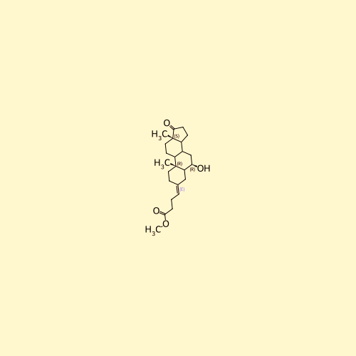 COC(=O)CC/C=C1\CC[C@]2(C)C3CC[C@]4(C)C(=O)CCC4C3C[C@@H](O)C2C1